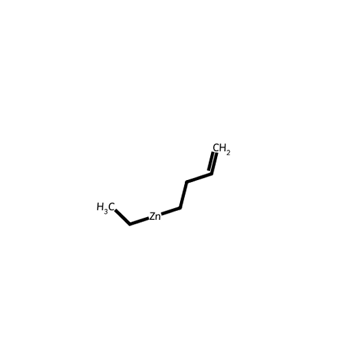 C=CC[CH2][Zn][CH2]C